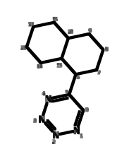 c1nnnnc1C1CCCC2CCCCC21